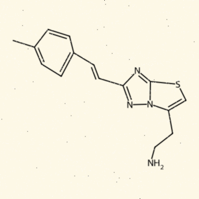 Cc1ccc(/C=C/c2nc3scc(CCN)n3n2)cc1